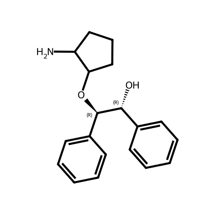 NC1CCCC1O[C@H](c1ccccc1)[C@H](O)c1ccccc1